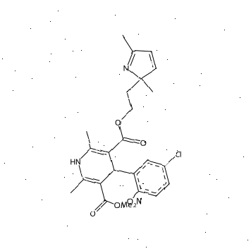 COC(=O)C1=C(C)NC(C)=C(C(=O)OCCC2(C)C=CC(C)=N2)C1c1cc(Cl)ccc1[N+](=O)[O-]